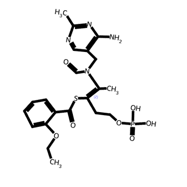 CCOc1ccccc1C(=O)S/C(CCOP(=O)(O)O)=C(/C)N(C=O)Cc1cnc(C)nc1N